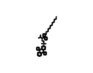 CCCCCCCCCCCCOC(=O)C(CCC(C)(C)c1ccc2c(c1)C(=O)c1ccccc1C2=O)C(C)C